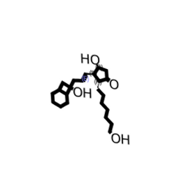 O=C1C[C@@H](O)[C@H](/C=C/CC2(O)CC3CCCCC32)[C@H]1CCCCCCCO